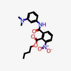 CCCCOC(=O)c1c(C(=O)Nc2cccc(N(C)C)c2)cccc1[N+](=O)[O-]